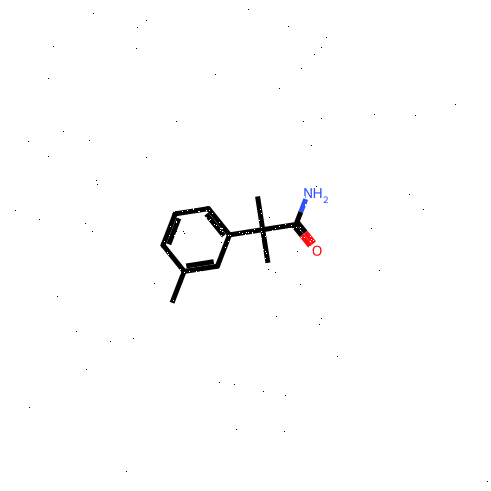 Cc1cccc(C(C)(C)C(N)=O)c1